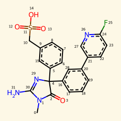 CN1C(=O)C(c2cccc(CS(=O)(=O)O)c2)(c2cccc(-c3ccc(F)nc3)c2)N=C1N